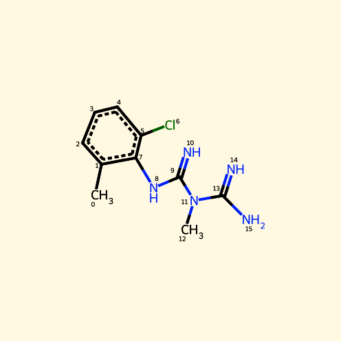 Cc1cccc(Cl)c1NC(=N)N(C)C(=N)N